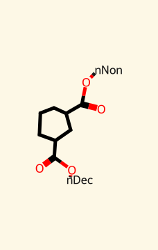 CCCCCCCCCCOC(=O)C1CCCC(C(=O)OCCCCCCCCC)C1